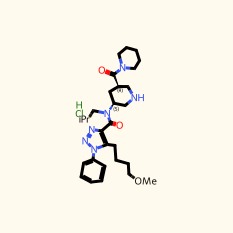 COCCCCc1c(C(=O)N(CC(C)C)[C@@H]2CNC[C@H](C(=O)N3CCCCC3)C2)nnn1-c1ccccc1.Cl